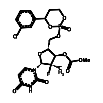 COC(=O)O[C@@H]1[C@@H](COP2(=O)OCCC(c3cccc(Cl)c3)O2)O[C@@H](n2ccc(=O)[nH]c2=O)[C@]1(C)F